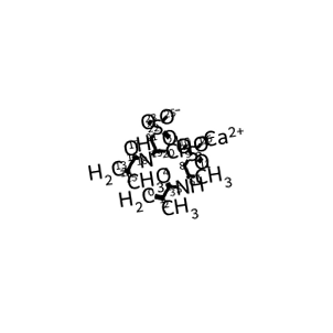 C=C(C)C(=O)NC(C)CS(=O)(=O)[O-].C=C(C)C(=O)NC(C)CS(=O)(=O)[O-].[Ca+2]